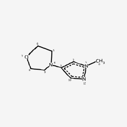 Cn1cc(N2CCOCC2)cn1